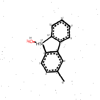 Cc1ccc2c(c1)-c1ccccc1[SiH]2O